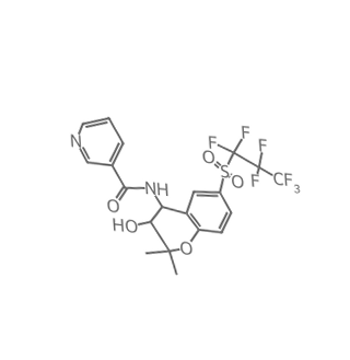 CC1(C)Oc2ccc(S(=O)(=O)C(F)(F)C(F)(F)C(F)(F)F)cc2C(NC(=O)c2cccnc2)C1O